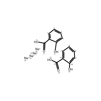 O=C(O)c1ccccc1O.O=C(O)c1ccccc1O.[Na+].[Na+].[Na+].[Na+]